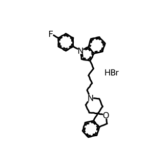 Br.Fc1ccc(-n2cc(CCCCN3CCC4(CC3)OCc3ccccc34)c3ccccc32)cc1